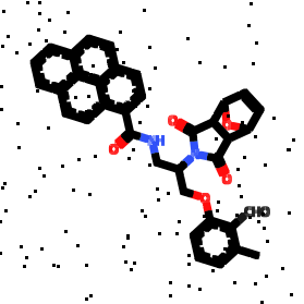 Cc1cccc(OCC(CNC(=O)c2ccc3ccc4cccc5ccc2c3c45)N2C(=O)C3C4C=CC(O4)C3C2=O)c1C=O